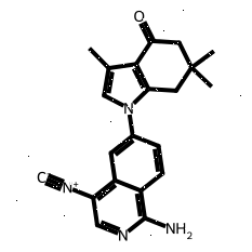 [C-]#[N+]c1cnc(N)c2ccc(-n3cc(C)c4c3CC(C)(C)CC4=O)cc12